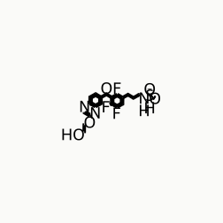 O=C(c1ccc2ncc(OCCO)nc2c1)c1c(F)c(F)cc(CCCN[SH](=O)=O)c1F